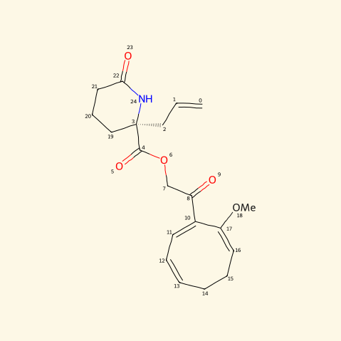 C=CC[C@]1(C(=O)OCC(=O)C2=C/C=C\CC/C=C\2OC)CCCC(=O)N1